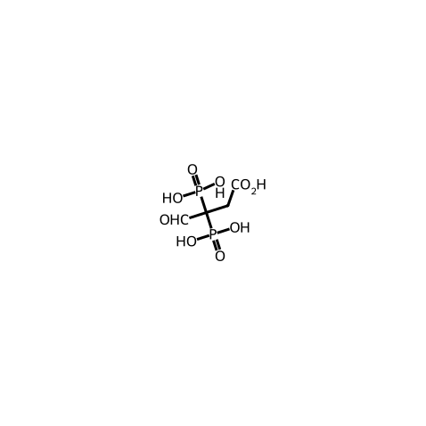 O=CC(CC(=O)O)(P(=O)(O)O)P(=O)(O)O